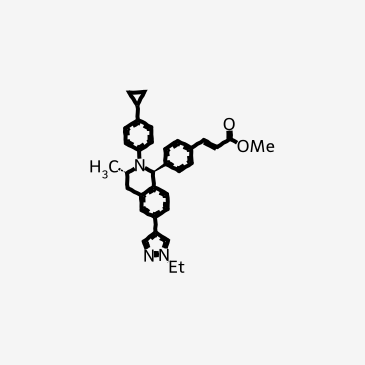 CCn1cc(-c2ccc3c(c2)C[C@H](C)N(c2ccc(C4CC4)cc2)[C@H]3c2ccc(/C=C/C(=O)OC)cc2)cn1